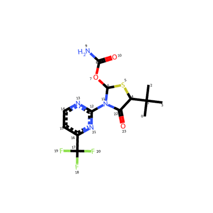 CC(C)(C)C1SC(OC(N)=O)N(c2nccc(C(F)(F)F)n2)C1=O